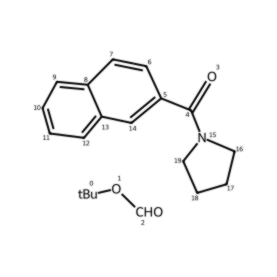 CC(C)(C)OC=O.O=C(c1ccc2ccccc2c1)N1CCCC1